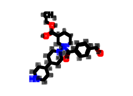 CCOC(=O)C1CCC[N+](C(=O)c2ccc([C]=O)cc2)(N2CCC(C3CCNCC3)CC2)C1